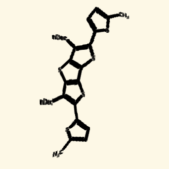 CCCCCCCCCCc1c(-c2ccc(C)s2)sc2c1sc1c(CCCCCCCCCC)c(-c3ccc(C)s3)sc12